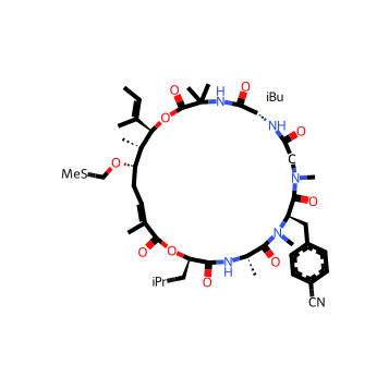 C/C=C(\C)[C@H]1OC(=O)C(C)(C)NC(=O)[C@H]([C@H](C)CC)NC(=O)CN(C)C(=O)[C@@H](Cc2ccc(C#N)cc2)N(C)C(=O)[C@H](C)NC(=O)[C@@H](CC(C)C)OC(=O)/C(C)=C/C[C@H](OCSC)[C@@H]1C